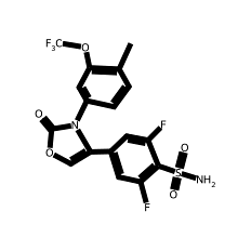 Cc1ccc(-n2c(-c3cc(F)c(S(N)(=O)=O)c(F)c3)coc2=O)cc1OC(F)(F)F